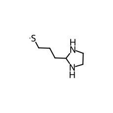 [S]CCCC1NCCN1